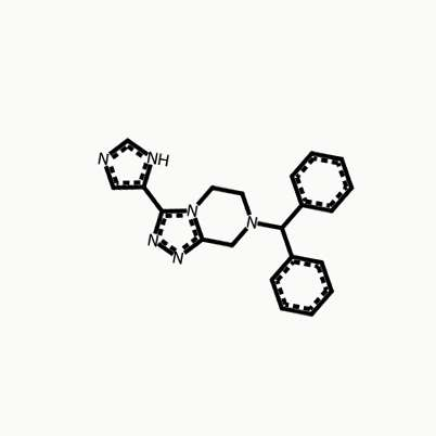 c1ccc(C(c2ccccc2)N2CCn3c(nnc3-c3cnc[nH]3)C2)cc1